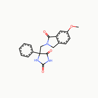 COc1ccc2c(c1)C(=O)N(CC1(c3ccccc3)NC(=O)NC1=O)C2